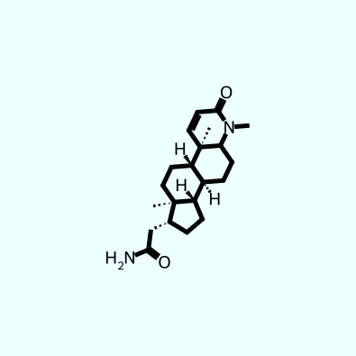 CN1C(=O)C=C[C@@]2(C)C1CC[C@H]1[C@@H]3CC[C@H](CC(N)=O)[C@@]3(C)CC[C@@H]12